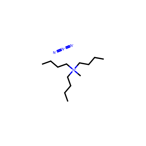 CCCC[N+](C)(CCCC)CCCC.[N-]=[N+]=[N-]